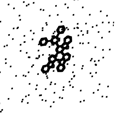 c1ccc(-c2nc(-c3ccccc3)nc(-c3cc4c(c5oc6ccccc6c35)-c3cccc5c6ccccc6n(c35)-c3c-4ccc4c3oc3ccccc34)n2)cc1